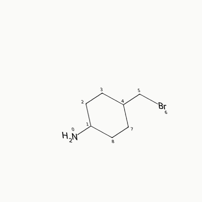 NC1CCC(CBr)CC1